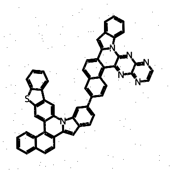 c1ccc2c(c1)ccc1c2c2cc3sc4ccccc4c3cc2n2c3cc(-c4ccc5c(ccc6c5c5nc7nccnc7nc5n5c7ccccc7cc65)c4)ccc3cc12